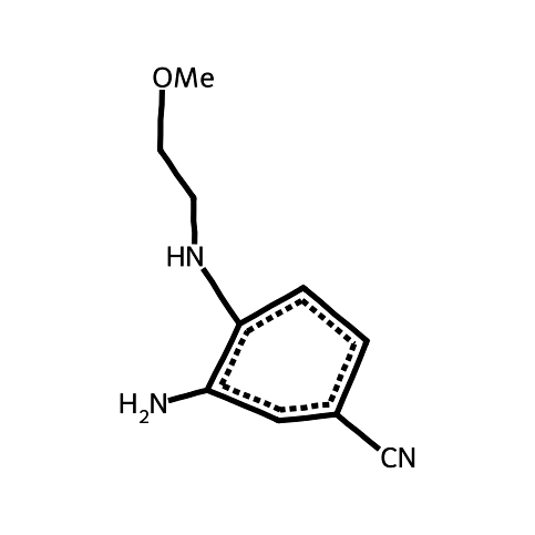 COCCNc1ccc(C#N)cc1N